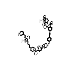 O=C(/C=C/c1cccnc1)NCCCCC1CCN(C(=O)c2ccc(N3CCN(Cc4ccc(C#Cc5ccc6c(c5)C(=O)N(C5CCC(=O)NC5=O)C6=O)cc4)CC3)nn2)CC1